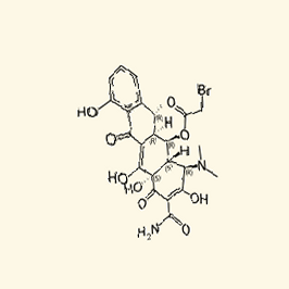 C[C@H]1c2cccc(O)c2C(=O)C2=C(O)[C@]3(O)C(=O)C(C(N)=O)=C(O)[C@H](N(C)C)[C@H]3[C@H](OC(=O)CBr)[C@@H]21